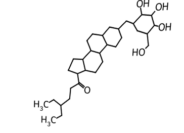 CCC(CC)CCC(=O)C1CCC2C1CCC1C3CCC(CC4CC(CO)C(O)C(O)C4O)CC3CCC12